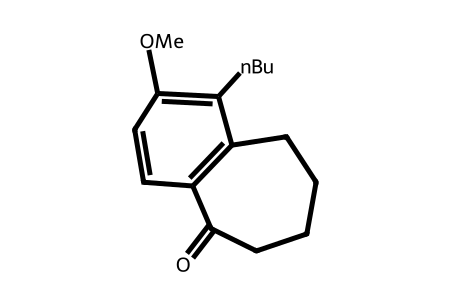 CCCCc1c(OC)ccc2c1CCCCC2=O